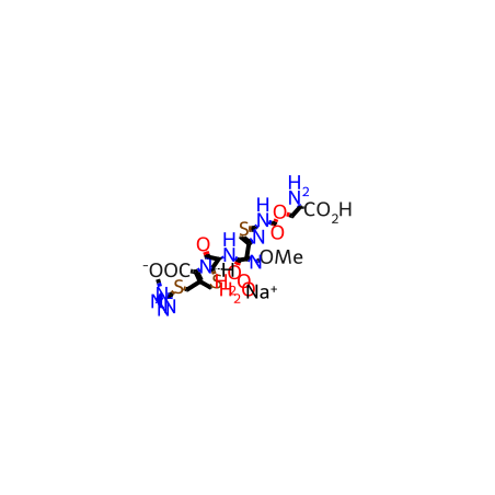 CO/N=C(/C(=O)N[C@@H]1C(=O)N2C(C(=O)[O-])=C(CSc3nnnn3C)CS[C@H]12)c1csc(NC(=O)OC[C@@H](N)C(=O)O)n1.O.O.[Na+]